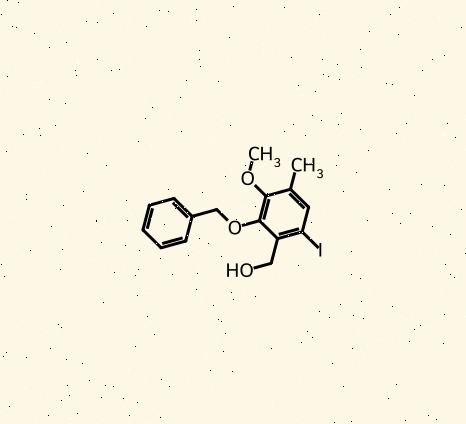 COc1c(C)cc(I)c(CO)c1OCc1ccccc1